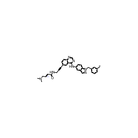 CN(C)C/C=C/C(=O)NCC#Cc1ccc2ncnc(Nc3ccc4c(cnn4Cc4cccc(F)c4)c3)c2c1